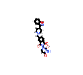 O=C1CCN(N2C(=O)c3ccc(CN4CCC(c5noc6ccccc56)CC4)cc3C2=O)C(=O)N1